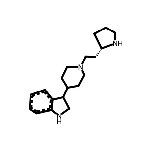 c1ccc2c(c1)NCC2C1CCN(CC[C@@H]2CCCN2)CC1